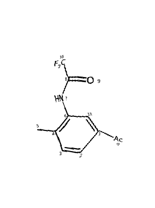 CC(=O)c1ccc(C)c(NC(=O)C(F)(F)F)c1